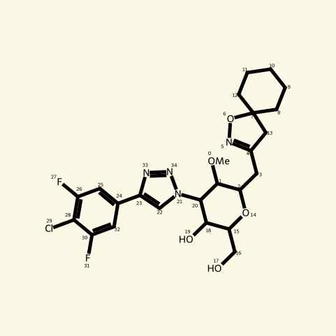 COC1C(CC2=NOC3(CCCCC3)C2)OC(CO)C(O)C1n1cc(-c2cc(F)c(Cl)c(F)c2)nn1